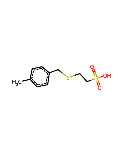 Cc1ccc(CSCCS(=O)(=O)O)cc1